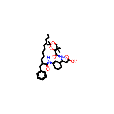 CCCCCCCCCC(Cc1ccccc1)C(=O)NC1CCCC(C(CC(=O)O)NC(=O)C2OC(C)(C)OCC2(C)C)C1